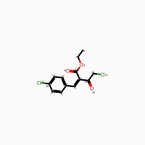 CCOC(=O)/C(=C\c1ccc(Cl)cc1)C(=O)CCl